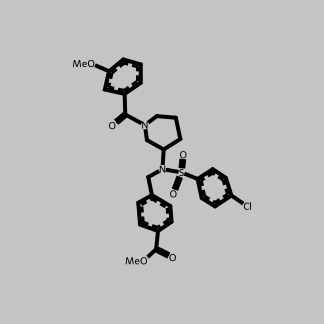 COC(=O)c1ccc(CN(C2CCCN(C(=O)c3cccc(OC)c3)C2)S(=O)(=O)c2ccc(Cl)cc2)cc1